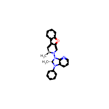 CB1C=c2c(oc3ccccc23)=CN1N1c2ncccc2N(c2ccccc2)[C@@H]1C